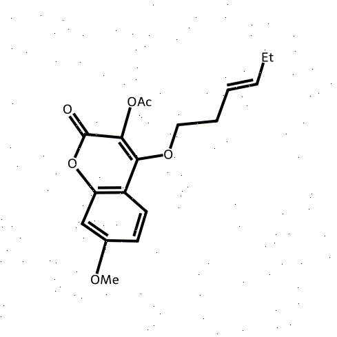 CCC=CCCOc1c(OC(C)=O)c(=O)oc2cc(OC)ccc12